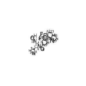 O=CNCCN(CCc1cccnc1)C(=O)c1ccc(-c2cccc3cccnc23)c(C(F)(F)F)c1